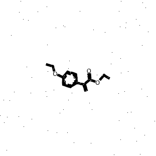 C=C(C(=O)OCC)c1ccc(OCC)cc1